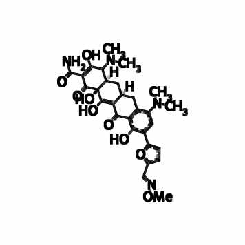 CO/N=C/c1ccc(-c2cc(N(C)C)c3c(c2O)C(=O)C2=C(O)[C@]4(O)C(=O)C(C(N)=O)=C(O)C(N(C)C)[C@H]4C[C@H]2C3)o1